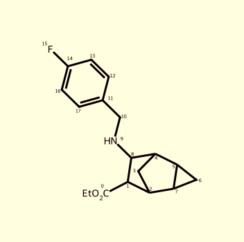 CCOC(=O)C1C2CC(C3CC32)C1NCc1ccc(F)cc1